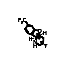 F[C@@H]1CN[C@H]2c3ccc(C(F)(F)F)cc3O[C@H]2C1